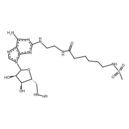 CCCNC[C@H]1OC(n2cnc3c(N)nc(NCCNC(=O)CCCCCNS(C)(=O)=O)nc32)[C@H](O)[C@@H]1O